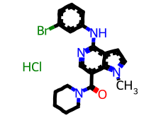 Cl.Cn1ccc2c(Nc3cccc(Br)c3)ncc(C(=O)N3CCCCC3)c21